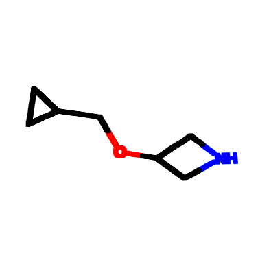 C1CC1COC1CNC1